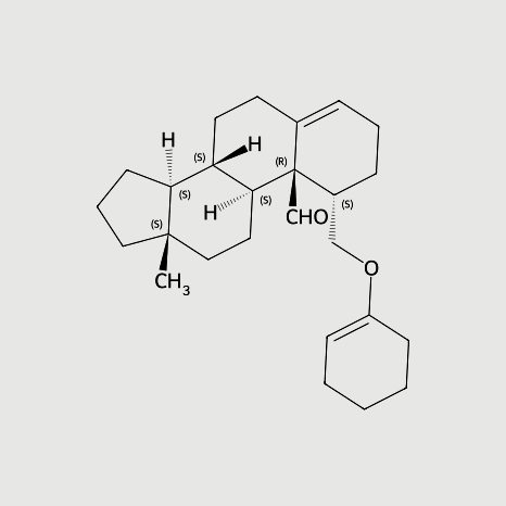 C[C@@]12CCC[C@H]1[C@@H]1CCC3=CCC[C@H](COC4=CCCCC4)[C@]3(C=O)[C@H]1CC2